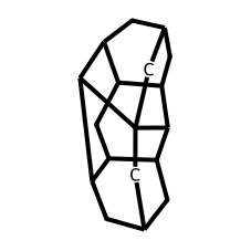 C1C2C3CC4CC2C2C5CC6CC(C15)C3C2(C4)C6